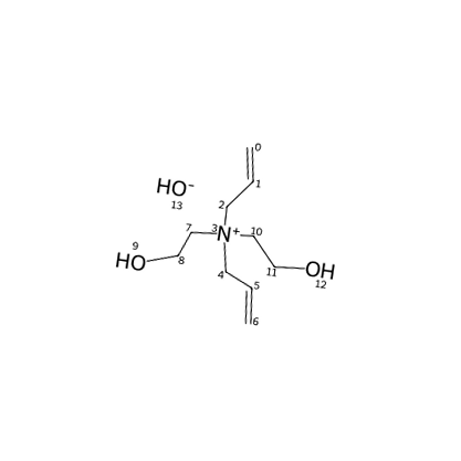 C=CC[N+](CC=C)(CCO)CCO.[OH-]